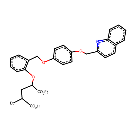 CCOC(=O)C(CC(CC)C(=O)O)Oc1ccccc1COc1ccc(OCc2ccc3ccccc3n2)cc1